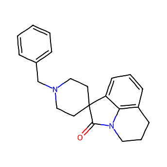 O=C1N2CCCc3cccc(c32)C12CCN(Cc1ccccc1)CC2